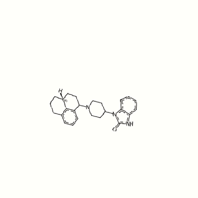 O=c1[nH]c2ccccc2n1C1CCN(C2CC[C@H]3CCCc4cccc2c43)CC1